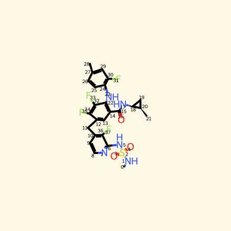 CNS(=O)(=O)Nc1nccc(Cc2cc(C(=O)N[C@H]3C[C@H]3C)c(Nc3ccc(C)cc3F)c(F)c2F)c1F